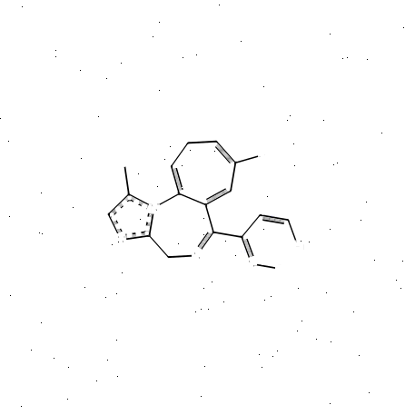 CC/C=C\C(=N/CC)C1=NCc2ncc(C)n2C2=CCC=C(Br)C=C21